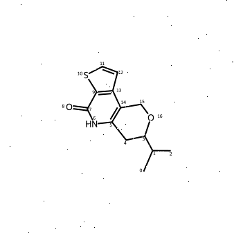 CC(C)C1Cc2[nH]c(=O)c3sccc3c2CO1